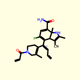 C=C/C=C(\C1=C(C)CN(C(=O)C=C)CC1)C1=C(F)C=C(C(N)=O)C2(C)NC(C)=C(C#N)C12